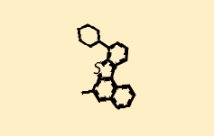 Cc1cc2ccccc2c2c1sc1c(C3CCCCC3)cccc12